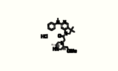 COC[C@H]1CN[C@H](C)CN1CC(=O)N1CC(C)(C)c2cnc(N(C)c3ccccc3)cc21.Cl